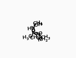 CC(C)CCN(c1ccc(NCCC(C)O)cc1)C1CCN(C(=O)[CH]CC(C)C(N)=O)CC1